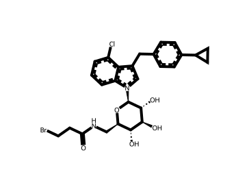 O=C(CCBr)NC[C@H]1O[C@@H](n2cc(Cc3ccc(C4CC4)cc3)c3c(Cl)cccc32)[C@H](O)[C@@H](O)[C@@H]1O